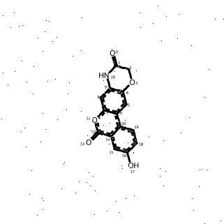 O=C1COc2cc3c(cc2N1)oc(=O)c1cc(O)ccc13